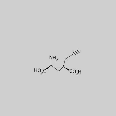 C#CC[C@H](C[C@H](N)C(=O)O)C(=O)O